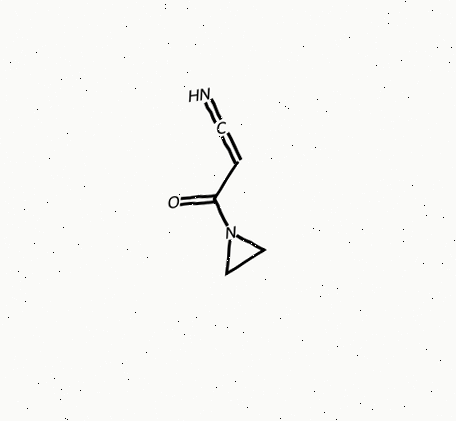 N=C=CC(=O)N1CC1